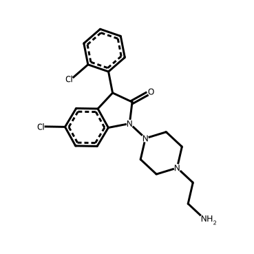 NCCN1CCN(N2C(=O)C(c3ccccc3Cl)c3cc(Cl)ccc32)CC1